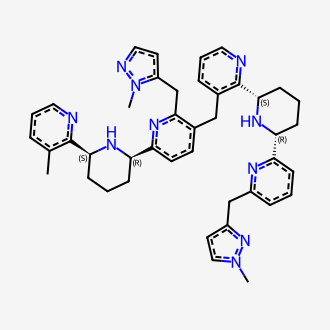 Cc1cccnc1[C@@H]1CCC[C@H](c2ccc(Cc3cccnc3[C@@H]3CCC[C@H](c4cccc(Cc5ccn(C)n5)n4)N3)c(Cc3ccnn3C)n2)N1